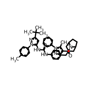 Cc1ccc(-n2nc(C(C)(C)C)cc2NC(=O)Nc2ccc(CC3CC4CCC(C3)N4C(=O)c3cnn(-c4ccccc4)c3C)cc2)cc1